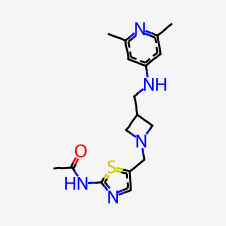 CC(=O)Nc1ncc(CN2CC(CNc3cc(C)nc(C)c3)C2)s1